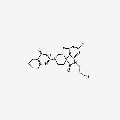 O=C1N(CCO)c2cc(F)cc(F)c2C12CCN(c1nc3c(c(=O)[nH]1)CCCC3)CC2